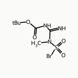 CN(C(=N)NC(=O)OC(C)(C)C)S(=O)(=O)Br